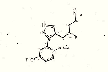 COc1ccc(C(F)(F)F)cc1-c1n[nH]cc1CN(C)CCN